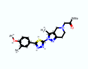 CNC(=O)CN1CCc2nn(-c3nnc(-c4ccc(OC(C)C)c(C#N)c4)s3)c(C)c2C1